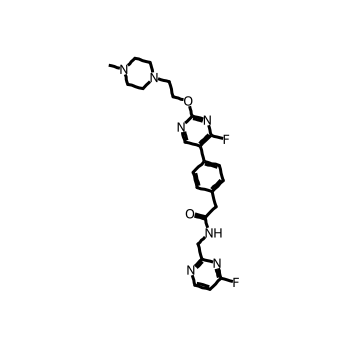 CN1CCN(CCOc2ncc(-c3ccc(CC(=O)NCc4nccc(F)n4)cc3)c(F)n2)CC1